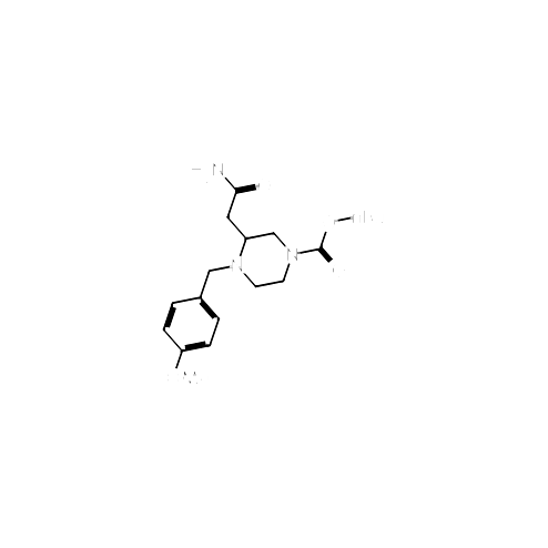 CCCCOC(=O)N1CCN(Cc2ccc(OC)cc2)C(CC(N)=O)C1